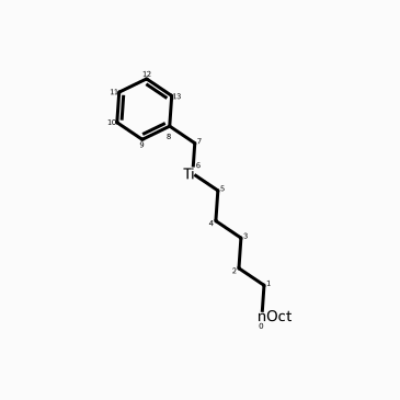 CCCCCCCCCCCC[CH2][Ti][CH2]c1ccccc1